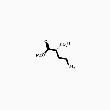 COC(=O)[C@@H](CCN)C(=O)O